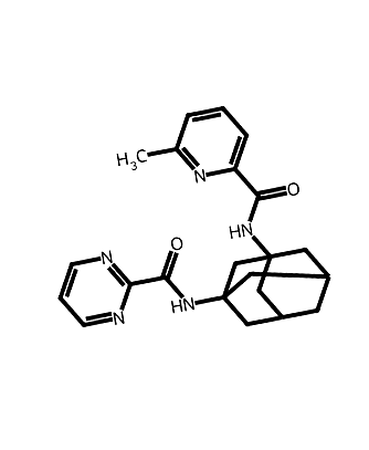 Cc1cccc(C(=O)NC23CC4CC(C2)CC(NC(=O)c2ncccn2)(C4)C3)n1